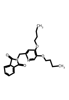 CCCCOc1cnc(CN2C(=O)c3ccccc3C2=O)cc1OCCCC